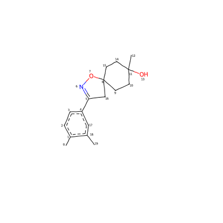 Cc1ccc(C2=NOC3(CCC(C)(O)CC3)C2)cc1C